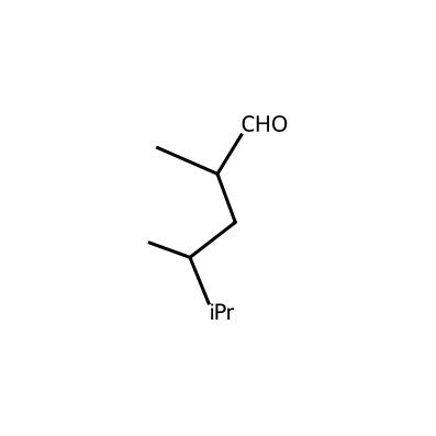 CC(C=O)CC(C)C(C)C